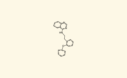 c1ccc(Oc2ccccc2CCNc2ncnc3ccccc23)cc1